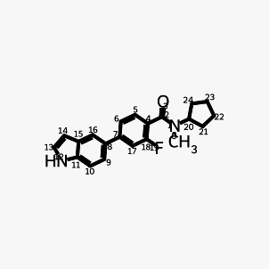 CN(C(=O)c1ccc(-c2ccc3[nH]ccc3c2)cc1F)C1CCCC1